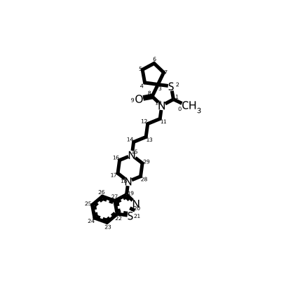 CC1SC2(CCCC2)C(=O)N1CCCCN1CCN(c2nsc3ccccc23)CC1